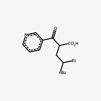 CCCCC(CC)CC(C(=O)O)C(=O)c1cccnc1